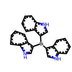 c1ccc2[c]([Bi]([c]3c[nH]c4ccccc34)[c]3c[nH]c4ccccc34)c[nH]c2c1